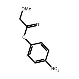 COCC(=O)Oc1ccc([N+](=O)[O-])cc1